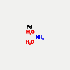 N.O.O.[Pd]